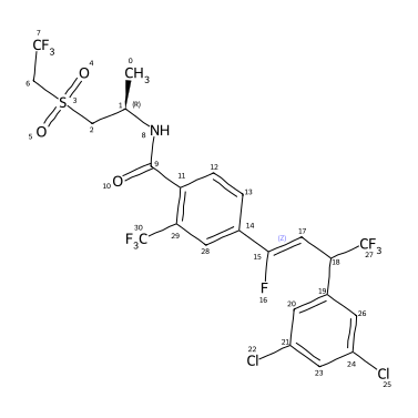 C[C@H](CS(=O)(=O)CC(F)(F)F)NC(=O)c1ccc(/C(F)=C/C(c2cc(Cl)cc(Cl)c2)C(F)(F)F)cc1C(F)(F)F